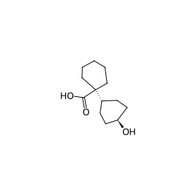 O=C(O)C1([C@H]2CC[C@H](O)CC2)CCCCC1